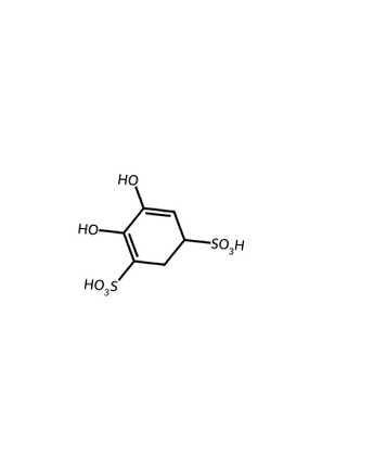 O=S(=O)(O)C1=C(O)C(O)=CC(S(=O)(=O)O)C1